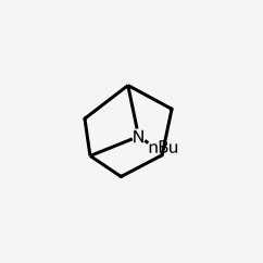 [CH2]CCCN1C2CCCC1C2